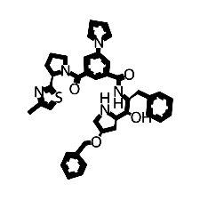 Cc1csc([C@H]2CCCN2C(=O)c2cc(C(=O)N[C@@H](Cc3ccccc3)[C@@H](O)[C@H]3C[C@@H](OCc4ccccc4)CN3)cc(-n3cccc3)c2)n1